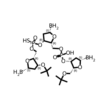 B[C@H]1C[C@@H](OC(C)(C)C)[C@@H](CO[P@](=O)(S)O[C@@H]2C[C@H](B)O[C@@H]2COP(=O)(O)O[C@@H]2C[C@H](B)O[C@@H]2COC(C)(C)C)O1